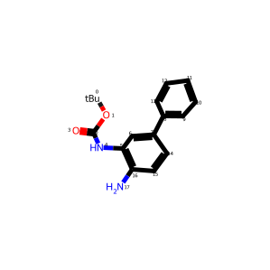 CC(C)(C)OC(=O)Nc1cc(-c2ccccc2)ccc1N